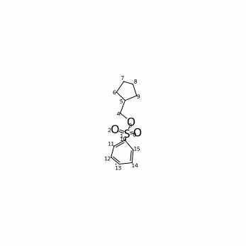 O=S(=O)(OCC1CCCC1)c1cc[c]cc1